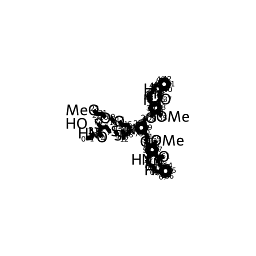 C=CNC(=O)C(CCSSC(C)(C)CN(CCOCCOCCOC)c1cc(COc2cc3c(cc2OC)C(=O)N2c4ccccc4C[C@H]2C=N3)cc(COc2cc3c(cc2OC)C(=O)N2c4ccccc4C[C@H]2CN3)c1)S(=O)(=O)O